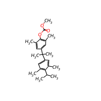 COC(=O)Oc1c(C)cc(C(C)(C)c2cc(C)c(C(C)C)c(C)c2)cc1C